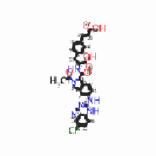 CC(=O)N1Cc2cc(NC(=NC#N)Nc3ccc(Cl)cc3)ccc2C1C(=O)NC(Cc1ccc(CCC(=O)O)cc1)C(=O)O